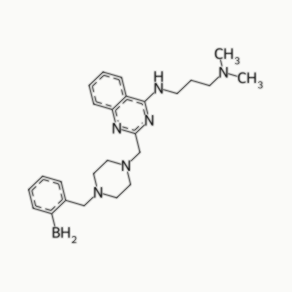 Bc1ccccc1CN1CCN(Cc2nc(NCCCN(C)C)c3ccccc3n2)CC1